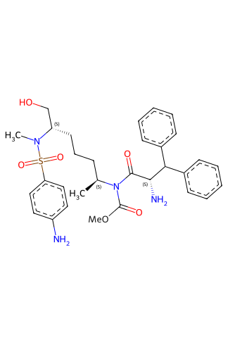 COC(=O)N(C(=O)[C@@H](N)C(c1ccccc1)c1ccccc1)[C@@H](C)CCC[C@@H](CO)N(C)S(=O)(=O)c1ccc(N)cc1